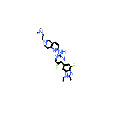 CCn1c(C)nc2c(F)cc(-c3nc(Nc4ccc5c(n4)CCN(CCN(C)C)C5)ncc3F)cc21